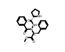 COC(=O)[C@H](Cc1ccccc1)N(NC(=O)[C@@H]1CCCN1)C(=O)c1ccccc1